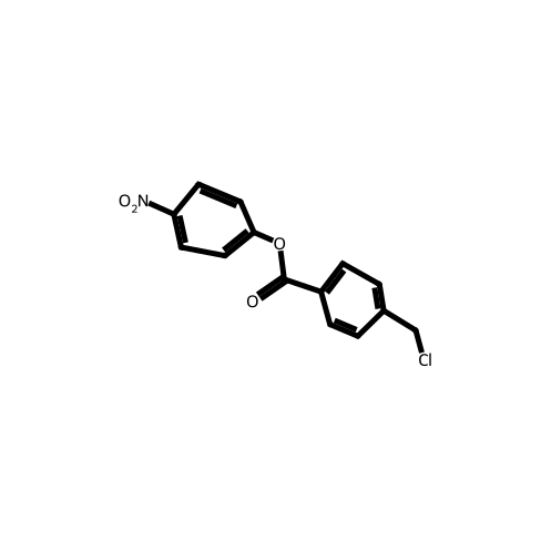 O=C(Oc1ccc([N+](=O)[O-])cc1)c1ccc(CCl)cc1